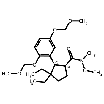 CCC1(CC)CC[C@H](C(=O)N(C)OC)[C@@H]1c1cc(OCOC)ccc1OCOC